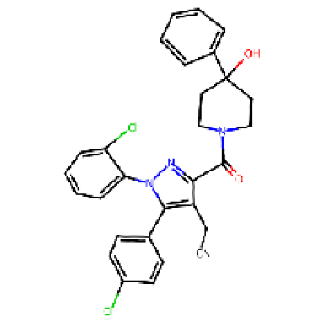 N#CCc1c(C(=O)N2CCC(O)(c3ccccc3)CC2)nn(-c2ccccc2Cl)c1-c1ccc(Cl)cc1